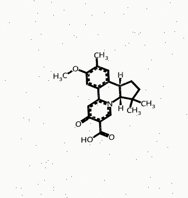 COc1cc2c(cc1C)[C@@H]1CCC(C)(C)[C@@H]1n1cc(C(=O)O)c(=O)cc1-2